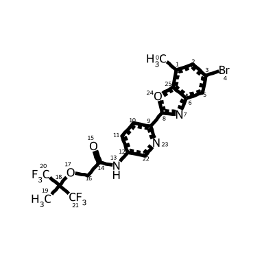 Cc1cc(Br)cc2nc(-c3ccc(NC(=O)COC(C)(C(F)(F)F)C(F)(F)F)cn3)oc12